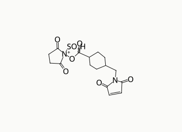 O=C(O[N+]1(S(=O)(=O)O)C(=O)CCC1=O)C1CCC(CN2C(=O)C=CC2=O)CC1